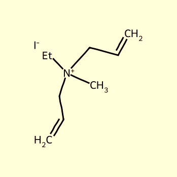 C=CC[N+](C)(CC)CC=C.[I-]